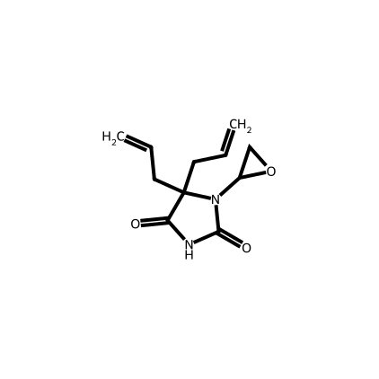 C=CCC1(CC=C)C(=O)NC(=O)N1C1CO1